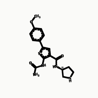 COc1ccc(-c2cc(C(=O)N[C@H]3CCNC3)c(NC(N)=O)s2)cc1